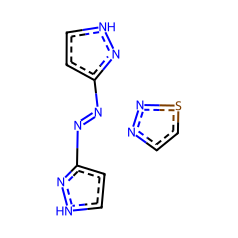 c1cc(N=Nc2cc[nH]n2)n[nH]1.c1csnn1